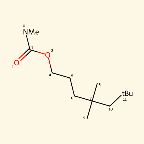 CNC(=O)OCCCC(C)(C)CC(C)(C)C